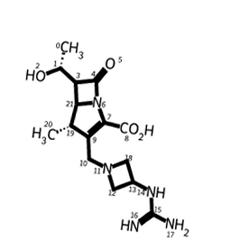 C[C@@H](O)C1C(=O)N2C(C(=O)O)=C(CN3CC(NC(=N)N)C3)[C@H](C)C12